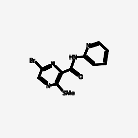 CSc1ncc(Br)nc1C(=O)Nc1ccccn1